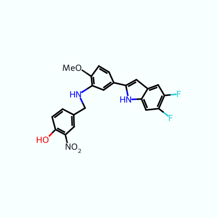 COc1ccc(-c2cc3cc(F)c(F)cc3[nH]2)cc1NCc1ccc(O)c([N+](=O)[O-])c1